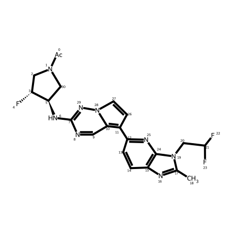 CC(=O)N1C[C@@H](F)[C@H](Nc2ncc3c(-c4ccc5nc(C)n(CC(F)F)c5n4)ccn3n2)C1